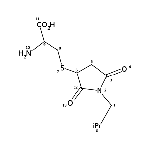 CC(C)CN1C(=O)CC(SCC(N)C(=O)O)C1=O